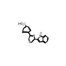 O=C(O)c1ccc(-c2cncc(-c3cc4ccccc4[nH]3)n2)cc1